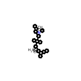 CC1(C)c2ccccc2-c2ccc3c4cc(-c5c6ccccc6c(-c6ccc7c(c6)-c6cc8c(cc6[Si]7(C)C)c6ccccc6c6cc7ccccc7cc86)c6ccccc56)ccc4n(-c4ccccc4)c3c21